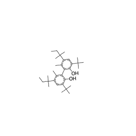 CCC(C)(C)c1cc(C(C)(C)C)c(O)c(-c2c(C)c(C(C)(C)CC)cc(C(C)(C)C)c2O)c1C